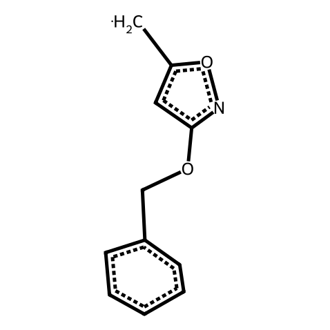 [CH2]c1cc(OCc2ccccc2)no1